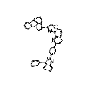 c1ccc(-c2nc(-c3ccc(-c4ccc5ccc6ccc(-c7ccc8c9c(cccc79)-c7ccccc7-8)nc6c5n4)cc3)nc3ccccc23)cc1